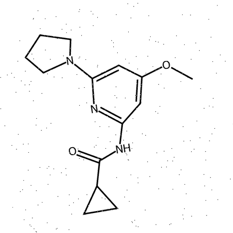 COc1cc(NC(=O)C2CC2)nc(N2CCCC2)c1